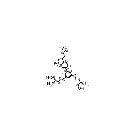 C=C(CO)CCOc1cc(OCCC(=C)CO)cc(-c2ccc(CCCCC)c(C(F)(F)F)c2)c1